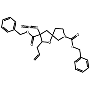 C=CCC1OC2(CCN(C(=O)OCc3ccccc3)C2)CC1(N=[N+]=[N-])C(=O)OCc1ccccc1